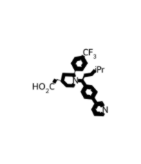 CC(C)CC[C@@H](c1ccc(-c2cccnc2)cc1)N1CC[C@H](CC(=O)O)C[C@@H]1c1ccc(C(F)(F)F)cc1